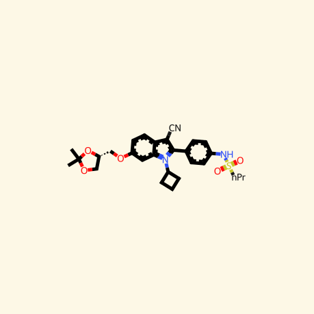 CCCS(=O)(=O)Nc1ccc(-c2c(C#N)c3ccc(OC[C@@H]4COC(C)(C)O4)cc3n2C2CCC2)cc1